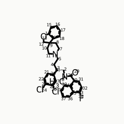 CN(C[C@@H](CCN1CCC2(CC1)COc1ccccc12)c1ccc(Cl)c(Cl)c1)C(=O)c1ccc(F)c2ccccc12